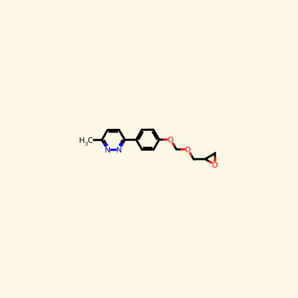 Cc1ccc(-c2ccc(OCOCC3CO3)cc2)nn1